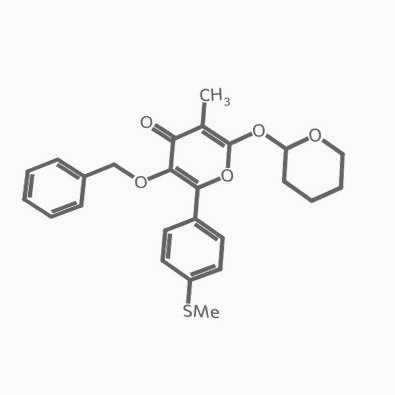 CSc1ccc(-c2oc(OC3CCCCO3)c(C)c(=O)c2OCc2ccccc2)cc1